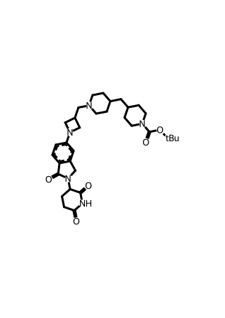 CC(C)(C)OC(=O)N1CCC(CC2CCN(CC3CN(c4ccc5c(c4)CN(C4CCC(=O)NC4=O)C5=O)C3)CC2)CC1